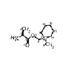 C=C(C)C(=O)OC[Si]1(C)CCCCC1